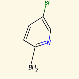 Bc1ccc(Br)cn1